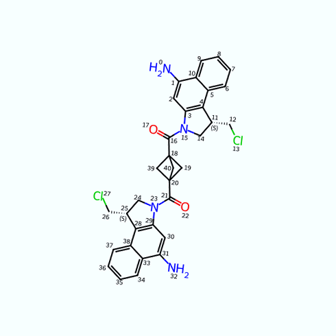 Nc1cc2c(c3ccccc13)[C@H](CCl)CN2C(=O)C12CC(C(=O)N3C[C@@H](CCl)c4c3cc(N)c3ccccc43)(C1)C2